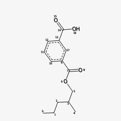 CCCC(C)COC(=O)c1cccc(C(=O)O)c1